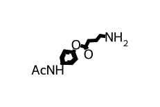 CC(=O)Nc1ccc(OC(=O)CCCN)cc1